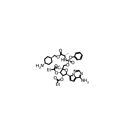 CCC(=O)O[C@H]1[C@H](c2ccc3c(N)ncnn23)O[C@](C#N)(COP(=O)(N[C@@H](C)C(=O)OC[C@H]2CC[C@H](N)CC2)Oc2ccccc2)[C@H]1OC(=O)CC